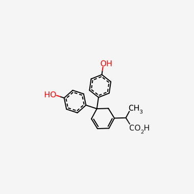 CC(C(=O)O)C1=CC=CC(c2ccc(O)cc2)(c2ccc(O)cc2)C1